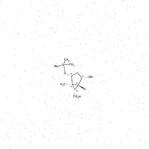 CC(C)(C)[Si](C)(C)O[C@@H]1C[C@H](O)[C@@H]2[C@H](C(=O)O)[C@]21C